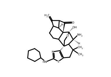 C=C1C2CCC3[C@@]45CO[C@](O)([C@@H](N)C4C(C)(C)Cc4sc(NC6CCCCC6)nc45)[C@]34C(=O)C1[C@H]24